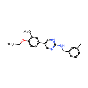 COc1cc(-c2cnc(NCc3cccc(C)c3)nc2)ccc1OCC(=O)O